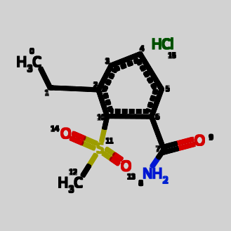 CCc1cccc(C(N)=O)c1S(C)(=O)=O.Cl